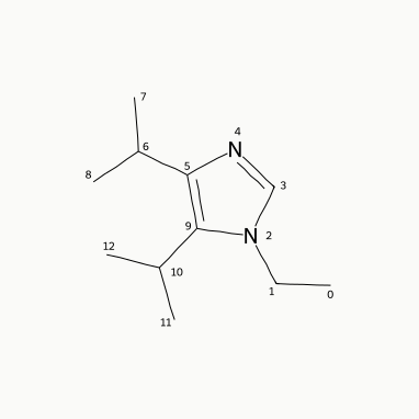 CCn1cnc(C(C)C)c1C(C)C